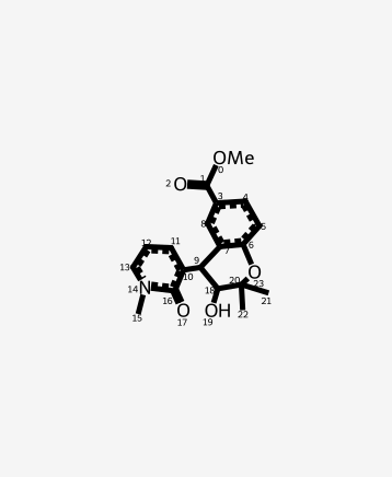 COC(=O)c1ccc2c(c1)C(c1cccn(C)c1=O)C(O)C(C)(C)O2